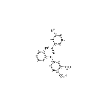 O=C(Nc1ccccc1Oc1ccc(C(=O)O)c(C(=O)O)c1)c1cccc(Br)c1